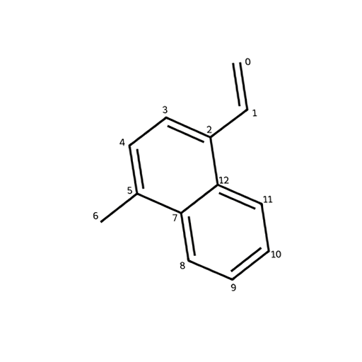 C=Cc1ccc(C)c2ccccc12